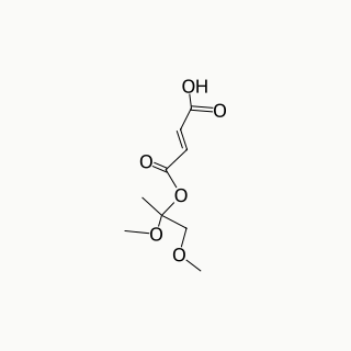 COCC(C)(OC)OC(=O)C=CC(=O)O